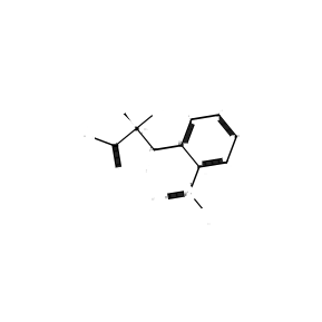 C[C@](O)(C(=O)O)[C@@H](O)c1ccccc1[N+](=O)[O-]